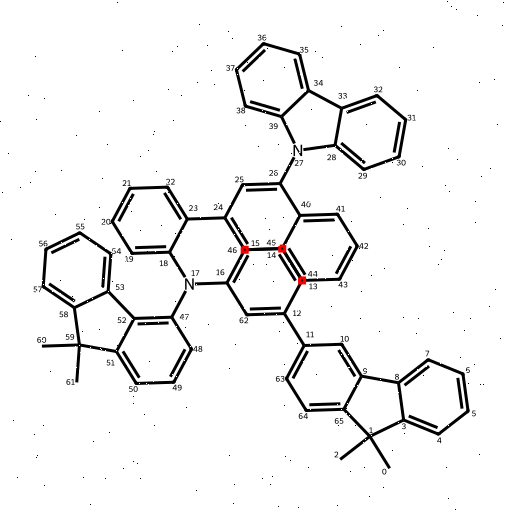 CC1(C)c2ccccc2-c2cc(-c3cccc(N(c4ccccc4-c4cc(-n5c6ccccc6c6ccccc65)c5ccccc5c4)c4cccc5c4-c4ccccc4C5(C)C)c3)ccc21